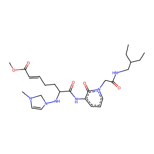 CCC(CC)CNC(=O)Cn1cccc(NC(=O)C(CCC=CC(=O)OC)NN2C=CN(C)C2)c1=O